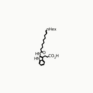 CCCCCCC=CCCCCCCCC(=O)Nc1[nH]c2ccccc2c1CCC(=O)O